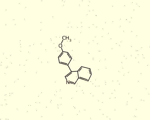 COc1ccc(-c2cncc3ccccc23)cc1